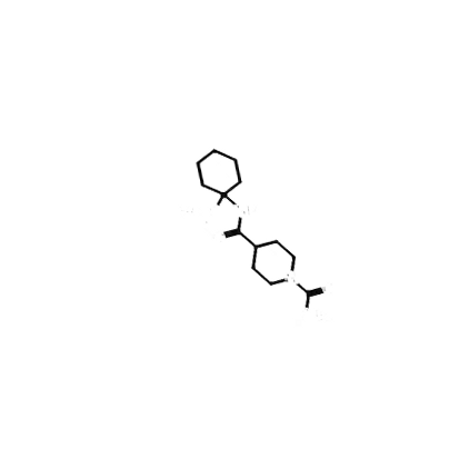 CC(C)COC(=O)N1CCC(C(=O)NC2(C(=O)O)CCCCC2)CC1